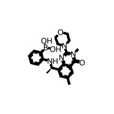 Cc1cc([C@@H](C)Nc2ccccc2B(O)O)c2nc(N3CCOCC3)n(C)c(=O)c2c1